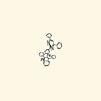 c1ccc(-c2cc(-c3ccccc3)nc(-c3cccc(-n4c5ccccc5c5c6ccccc6nc(-c6ccccc6)c54)c3)n2)cc1